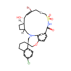 O=C1NS(=O)(=O)CCC/C(Br)=C\[C@@H](O)[C@@H]2CC[C@H]2CN2C[C@@]3(CCCc4cc(Cl)ccc43)COc3ccc1cc32